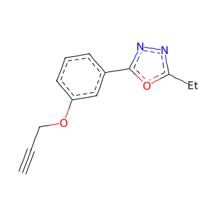 C#CCOc1cccc(-c2nnc(CC)o2)c1